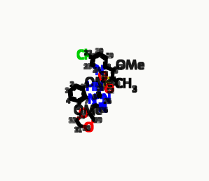 COc1cccc(OC)c1-n1c(NS(=O)(=O)C(C)C(OC)c2ccc(Cl)cn2)nnc1[C@H]1COCCO1